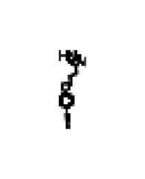 CC#Cc1ccc(OCCCc2c[nH]cn2)cc1